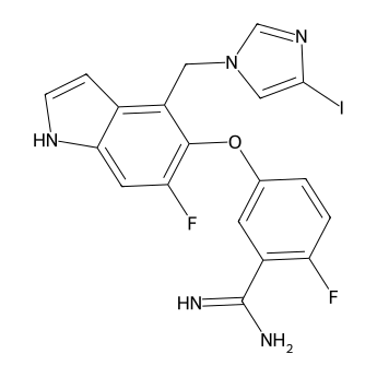 N=C(N)c1cc(Oc2c(F)cc3[nH]ccc3c2Cn2cnc(I)c2)ccc1F